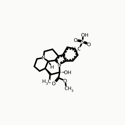 CC[C@]12CCCN3CCc4c(n(c5ccccc45)[C@@](O)(C(=O)OC)C1)[C@@H]32.CS(=O)(=O)O